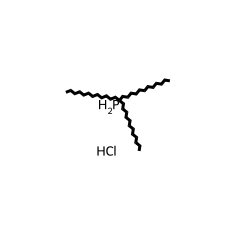 CCCCCCCCCCCCC(P)(CCCCCCCCCCCC)CCCCCCCCCCCC.Cl